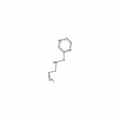 C=CCNSc1cnccn1